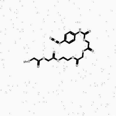 COCC(=O)OCC(=O)OCCOC(=O)COC(=O)COC(=O)Nc1ccc(N=C=O)cc1